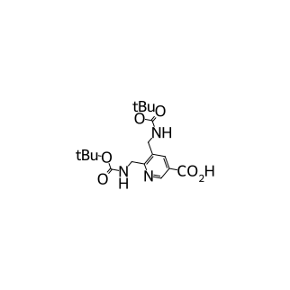 CC(C)(C)OC(=O)NCc1cc(C(=O)O)cnc1CNC(=O)OC(C)(C)C